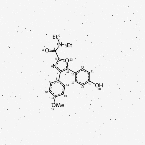 CCN(CC)C(=O)c1nc(-c2ccc(OC)cc2)c(-c2ccc(O)cc2)o1